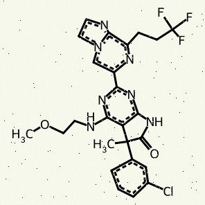 COCCNc1nc(-c2cn3ccnc3c(CCC(F)(F)F)n2)nc2c1C(C)(c1cccc(Cl)c1)C(=O)N2